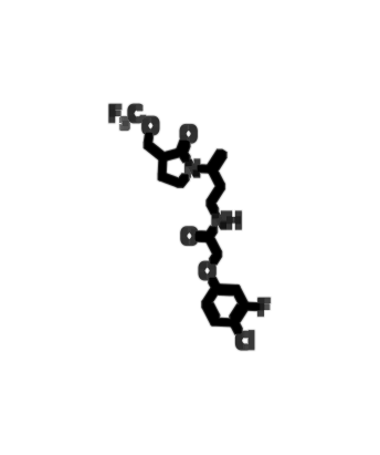 C=C(CCNC(=O)COc1ccc(Cl)c(F)c1)N1CCC(COC(F)(F)F)C1=O